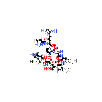 CC(C)C[C@H](N)C(=O)N[C@@H](CCCNC(=N)N)C(=O)N1CCC[C@H]1C(=O)NCC(=O)N[C@@H](CC(=O)O)C(=O)N[C@@H](CC(=O)O)C(=O)N[C@@H](CO)C(=O)N[C@@H](CO)C(=O)N[C@@H](Cc1c[nH]cn1)C(=O)O